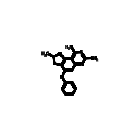 CC1Cc2c(Oc3ccccc3)cc3nc(N)nc(N)c3c2O1